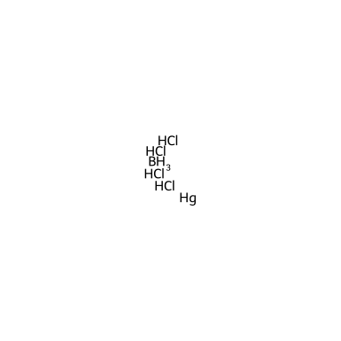 B.Cl.Cl.Cl.Cl.[Hg]